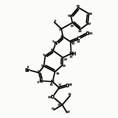 CC(C1=Nc2cc3c(Br)nn(C(=O)OC(C)(C)C)c3cc2NC1=C=O)c1ccccc1